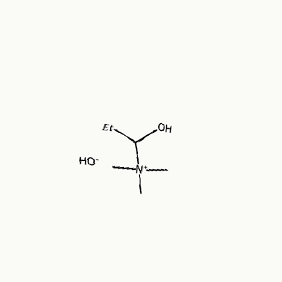 CCC(O)[N+](C)(C)C.[OH-]